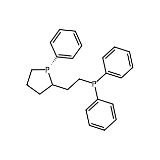 c1ccc(P(CCC2CCC[P@]2c2ccccc2)c2ccccc2)cc1